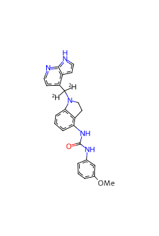 [2H]C([2H])(c1ccnc2[nH]ccc12)N1CCc2c(NC(=O)Nc3cccc(OC)c3)cccc21